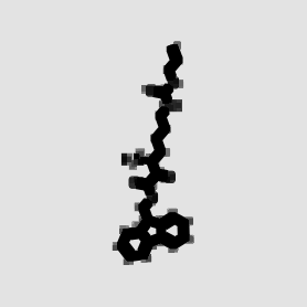 C=CCOC(=O)NCCCC[C@H](N)C(=O)C(=O)OCC1c2ccccc2-c2ccccc21